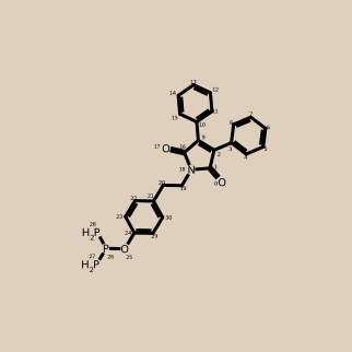 O=C1C(c2ccccc2)=C(c2ccccc2)C(=O)N1CCc1ccc(OP(P)P)cc1